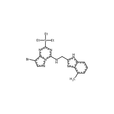 CCS(CC)(CC)c1nc(NCc2nc3c(C)cccc3[nH]2)n2ncc(Br)c2n1